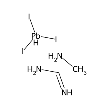 CN.N=CN.[I][PbH]([I])[I]